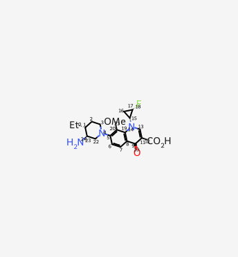 CC[C@@H]1CCN(c2ccc3c(=O)c(C(=O)O)cn([C@@H]4C[C@@H]4F)c3c2OC)C[C@H]1N